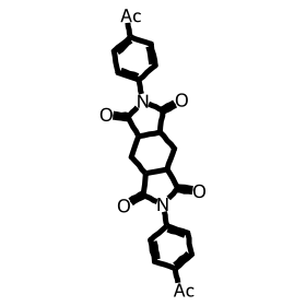 CC(=O)c1ccc(N2C(=O)C3CC4C(=O)N(c5ccc(C(C)=O)cc5)C(=O)C4CC3C2=O)cc1